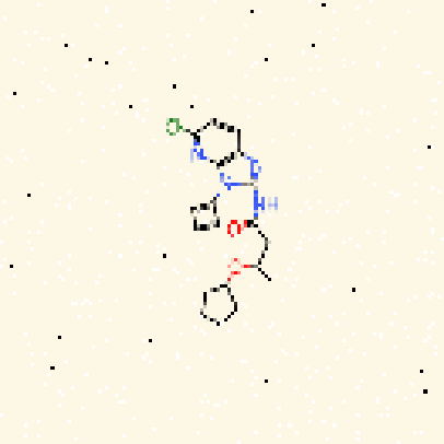 CC(CC(=O)Nc1nc2ccc(Cl)nc2n1C1=CC=C1)OC1CCCC1